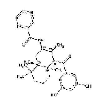 C[C@@H]1[C@H](NC(=O)c2cnccn2)C[C@@]2(C)C(C)(C)CCC[C@]2(C)[C@H]1C(=O)c1cc(O)cc(O)c1